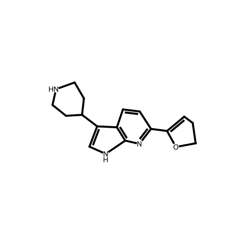 C1=C(c2ccc3c(C4CCNCC4)c[nH]c3n2)OCC1